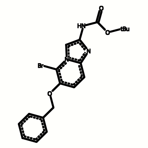 CC(C)(C)OC(=O)Nc1cn2c(Br)c(OCc3ccccc3)ccc2n1